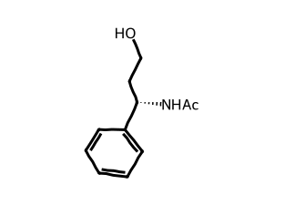 CC(=O)N[C@@H](CCO)c1ccccc1